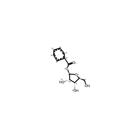 O=C(O[C@H]1O[C@@H](CO)[C@H](O)[C@@H]1O)c1ccccc1